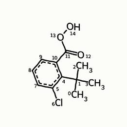 CC(C)(C)c1c(Cl)cccc1C(=O)OO